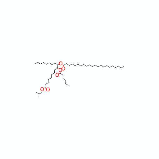 CCCCCCCCCCCCCCCCCCCCCC(=O)OC(CCCCCCCC)C(CCCCCCCC(=O)OCC(C)C)OC(=O)CCCCC